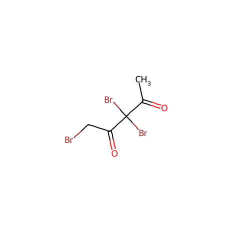 CC(=O)C(Br)(Br)C(=O)CBr